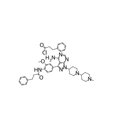 COc1cc(-c2nn(C3CCN(C4CCN(C)CC4)CC3)c3ncnc(N)c23)ccc1NC(=O)CCc1ccccc1.O=C(Cl)CCc1ccccc1